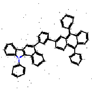 c1ccc(-c2c3ccccc3c(-c3ccccc3)c3cc(-c4cccc(-c5cc6c7ccccc7n(-c7ccccc7)c6c6ccccc56)c4)ccc23)cc1